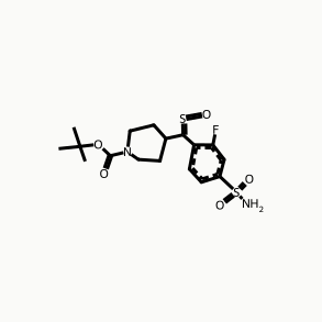 CC(C)(C)OC(=O)N1CCC(C(=S=O)c2ccc(S(N)(=O)=O)cc2F)CC1